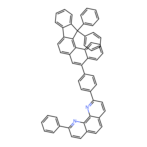 c1ccc(-c2ccc3ccc4ccc(-c5ccc(-c6cc7ccc8c(c7c7ccccc67)C(c6ccccc6)(c6ccccc6)c6ccccc6-8)cc5)nc4c3n2)cc1